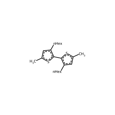 CCCCCCc1cc(C)sc1-c1sc(C)cc1CCCCCC